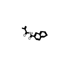 C=C(C)C(=O)NC(=O)c1ccc2ccccc2c1